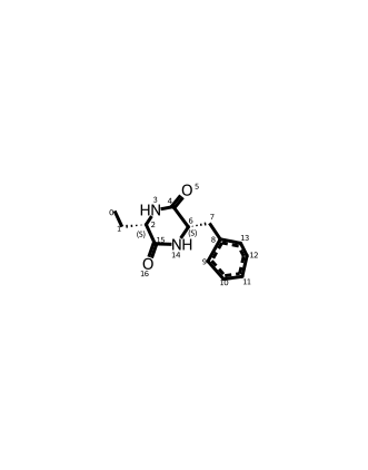 CC[C@@H]1NC(=O)[C@H](Cc2ccccc2)NC1=O